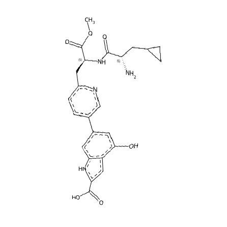 COC(=O)[C@H](Cc1ccc(-c2cc(O)c3cc(C(=O)O)[nH]c3c2)cn1)NC(=O)[C@@H](N)CC1CC1